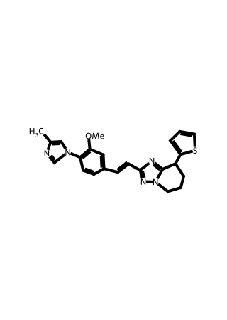 COc1cc(/C=C/c2nc3n(n2)CCCC3c2cccs2)ccc1-n1cnc(C)c1